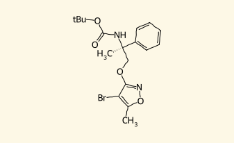 Cc1onc(OC[C@@](C)(NC(=O)OC(C)(C)C)c2ccccc2)c1Br